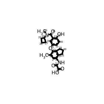 Cc1cc(NC(=O)C(=O)O)c2c(c1Oc1ccc(O)c(C(=O)N(C)C3CCC3)c1)CCC2